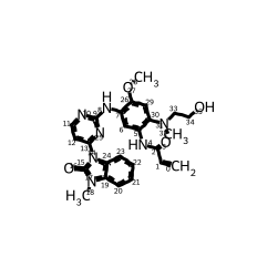 C=CC(=O)Nc1cc(Nc2nccc(-n3c(=O)n(C)c4ccccc43)n2)c(OC)cc1N(C)CCO